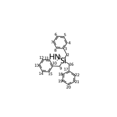 [NH][Si](Cc1ccccc1)(Cc1ccccc1)Cc1ccccc1